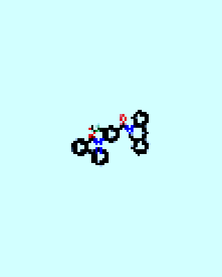 O=C(Nc1ccc(C(=O)N2Cc3ccccc3Cc3ccccc32)cc1Cl)c1ccccc1-c1ccccc1